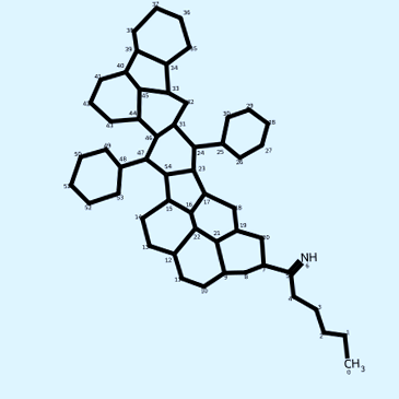 CCCCCC(=N)C1CC2CCC3CCC4C5C(CC(C1)C2C35)C1C(C2CCCCC2)C2CC3C5CCCCC5C5CCCC(C53)C2C(C2CCCCC2)C41